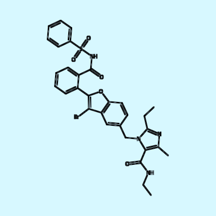 CCNC(=O)c1c(C)nc(CC)n1Cc1ccc2oc(-c3ccccc3C(=O)NS(=O)(=O)c3ccccc3)c(Br)c2c1